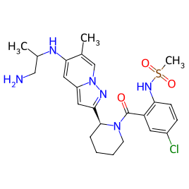 Cc1cn2nc([C@@H]3CCCCN3C(=O)c3cc(Cl)ccc3NS(C)(=O)=O)cc2cc1NC(C)CN